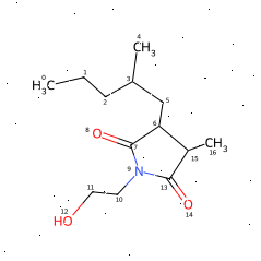 CCCC(C)CC1C(=O)N(CCO)C(=O)C1C